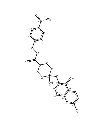 O=C(CCc1ccc([N+](=O)[O-])cc1)N1CCC(O)(Cn2cnc3cc(Cl)ccc3c2=O)CC1